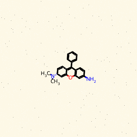 C[N+](C)=c1ccc2c(-c3ccccc3)c3ccc(N)cc3oc-2c1